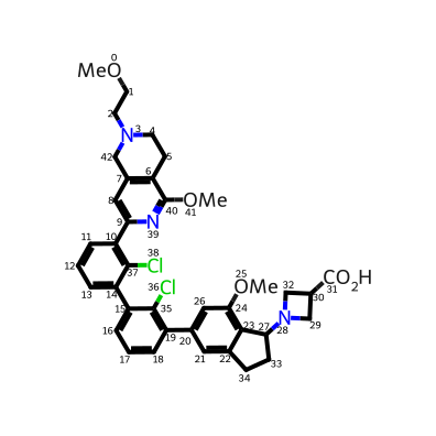 COCCN1CCc2c(cc(-c3cccc(-c4cccc(-c5cc6c(c(OC)c5)C(N5CC(C(=O)O)C5)CC6)c4Cl)c3Cl)nc2OC)C1